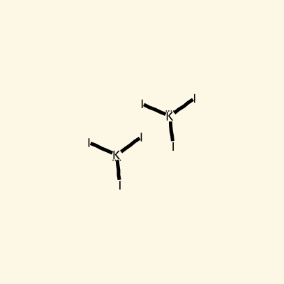 [I][K]([I])[I].[I][K]([I])[I]